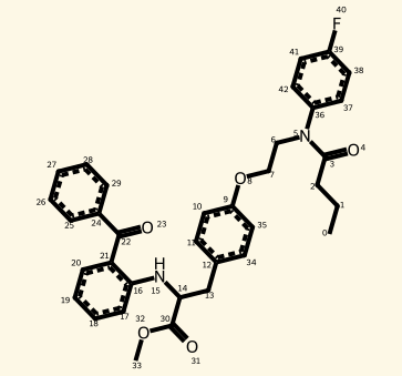 CCCC(=O)N(CCOc1ccc(CC(Nc2ccccc2C(=O)c2ccccc2)C(=O)OC)cc1)c1ccc(F)cc1